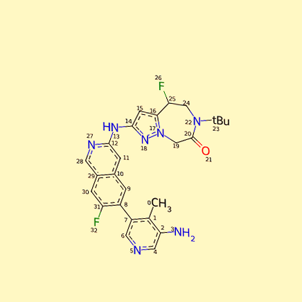 Cc1c(N)cncc1-c1cc2cc(Nc3cc4n(n3)CC(=O)N(C(C)(C)C)CC4F)ncc2cc1F